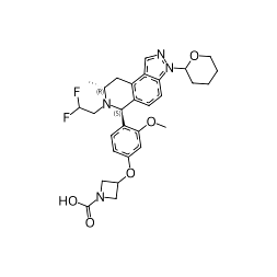 COc1cc(OC2CN(C(=O)O)C2)ccc1[C@@H]1c2ccc3c(cnn3C3CCCCO3)c2C[C@@H](C)N1CC(F)F